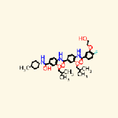 CC(C)COc1cc(C(=O)Nc2ccc(C(O)N[C@H]3CC[C@H](C)CC3)cc2OCC(C)C)ccc1NC(=O)c1ccc(F)c(OCCO)c1